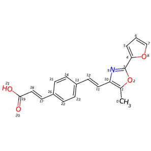 Cc1oc(-c2ccco2)nc1C=Cc1ccc(C=CC(=O)O)cc1